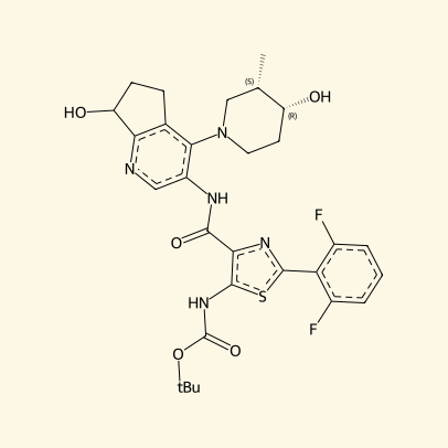 C[C@H]1CN(c2c(NC(=O)c3nc(-c4c(F)cccc4F)sc3NC(=O)OC(C)(C)C)cnc3c2CCC3O)CC[C@H]1O